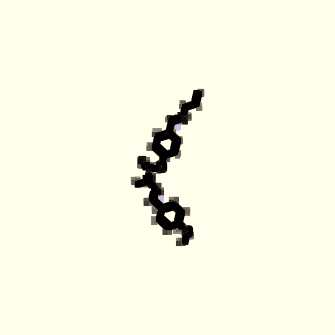 C=CC/N=C/c1ccc(O[PH](=S)N(C)/N=C/c2ccc(OC)cc2)cc1